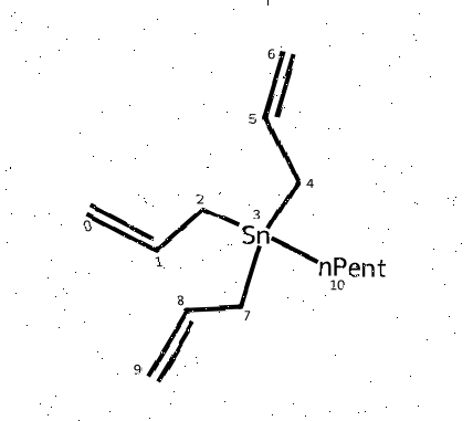 C=C[CH2][Sn]([CH2]C=C)([CH2]C=C)[CH2]CCCC